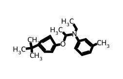 CCN(c1cccc(C)c1)C(C)Oc1ccc(C(C)(C)C)cc1